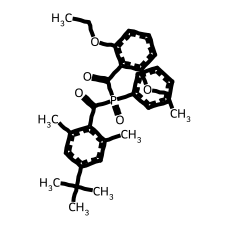 CCOc1cccc(OCC)c1C(=O)P(=O)(C(=O)c1c(C)cc(C(C)(C)C)cc1C)c1ccccc1